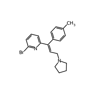 Cc1ccc(/C(=C\CN2CCCC2)c2cccc(Br)n2)cc1